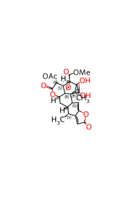 COC(=O)[C@]12OC[C@]34[C@H]([C@@H](O)[C@@H]1O)[C@@]1(C)C=C5OC(=O)C=C5[C@@H](C)[C@@H]1C[C@H]3OC(=O)[C@H](OC(C)=O)[C@@H]24